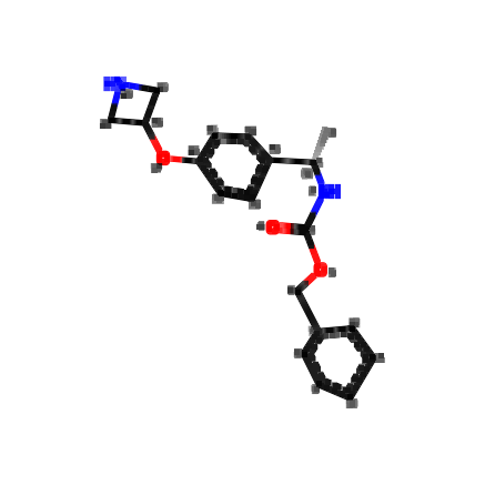 C[C@H](NC(=O)OCc1ccccc1)c1ccc(OC2CNC2)cc1